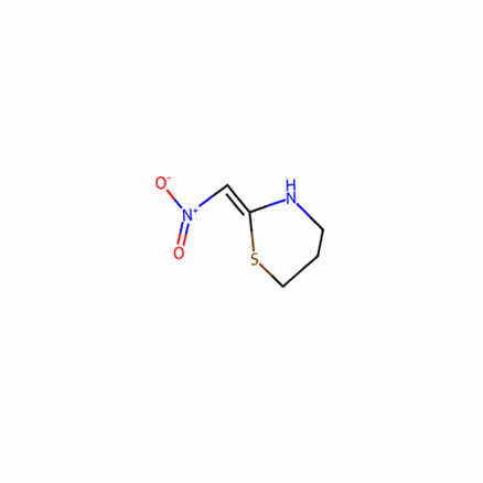 O=[N+]([O-])/C=C1/NCCCS1